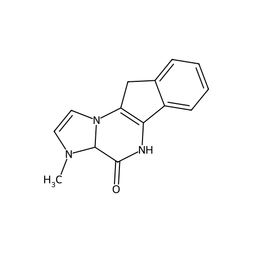 CN1C=CN2C3=C(NC(=O)C12)c1ccccc1C3